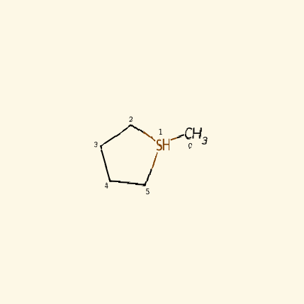 C[SH]1CCCC1